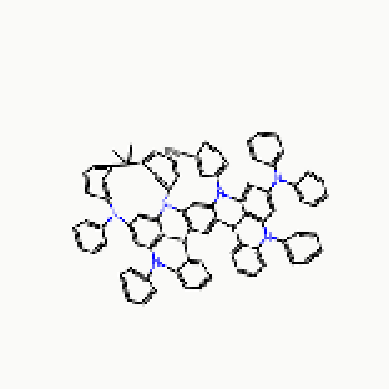 CC(C)(C)c1cccc(N2c3cc4c(cc3B3c5ccccc5N(c5ccccc5)c5cc(N(c6ccccc6)c6ccccc6)cc2c53)B2c3ccccc3N(c3ccccc3)c3cc5cc(c32)N4c2cccc(c2)C(C)(C)c2cccc(c2)N5c2ccccc2)c1